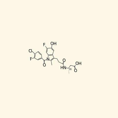 Cc1c(CCC(=O)N[C@@H](C)CC(=O)O)c2cc(O)c(F)cc2n1C(=O)c1ccc(Cl)c(F)c1